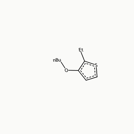 CCCCOc1ccsc1CC